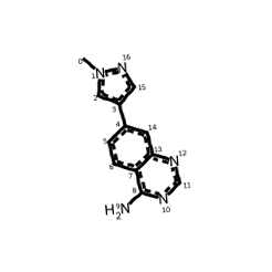 Cn1cc(-c2ccc3c(N)ncnc3c2)cn1